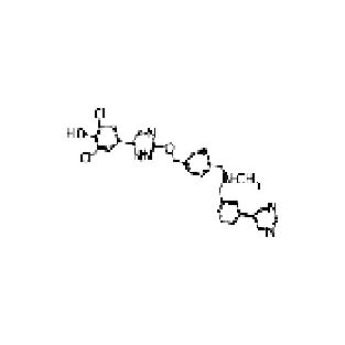 CN(Cc1ccc(COc2ncc(-c3cc(Cl)c(O)c(Cl)c3)nn2)cc1)Cc1cccc(-c2cncnc2)c1